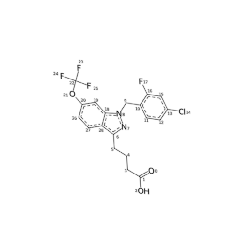 O=C(O)CCCc1nn(Cc2ccc(Cl)cc2F)c2cc(OC(F)(F)F)ccc12